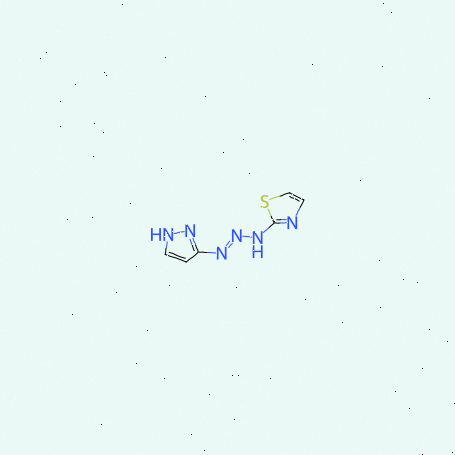 c1csc(NN=Nc2cc[nH]n2)n1